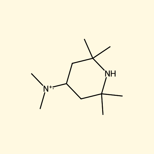 C[N+](C)C1CC(C)(C)NC(C)(C)C1